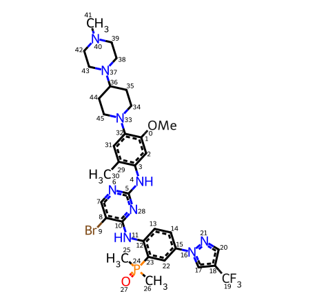 COc1cc(Nc2ncc(Br)c(Nc3ccc(-n4cc(C(F)(F)F)cn4)cc3P(C)(C)=O)n2)c(C)cc1N1CCC(N2CCN(C)CC2)CC1